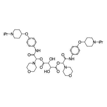 CC(C)N1CCC(Oc2ccc(NC(=O)C(OC(=O)C(O)C(O)C(=O)OC(C(=O)Nc3ccc(OC4CCN(C(C)C)CC4)cc3)N3CCOCC3)N3CCOCC3)cc2)CC1